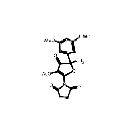 COc1cc(OC)cc(C2(C)OC(N3C(=O)CCC3=O)=C(OC(C)=O)C2=O)c1